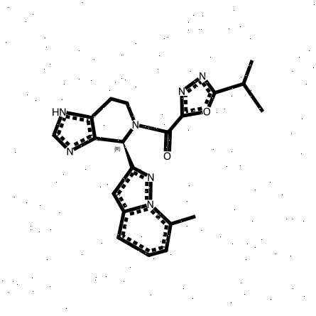 Cc1cccc2cc([C@H]3c4nc[nH]c4CCN3C(=O)c3nnc(C(C)C)o3)nn12